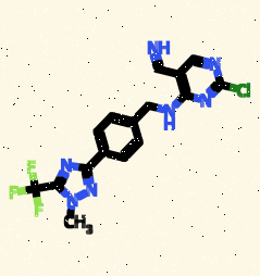 Cn1nc(-c2ccc(CNc3nc(Cl)ncc3C=N)cc2)nc1C(F)(F)F